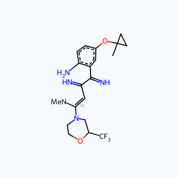 CN/C(=C\C(=N)C(=N)c1cc(OC2(C)CC2)ccc1N)N1CCOC(C(F)(F)F)C1